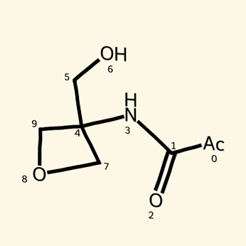 CC(=O)C(=O)NC1(CO)COC1